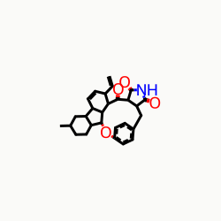 C=CC1C=CC2C3CC(C)CCC3C3Oc4ccc(cc4)CC4C(=O)NC(=O)C4C(=O)C1C23